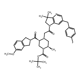 COc1ccc2c(c1)CN(C(=O)[C@@H]1CN(C(=O)OC(C)(C)C)[C@H](C)CN1CC(=O)N1CC(C)(C)c3ncc(Cc4ccc(F)cc4)cc31)C2